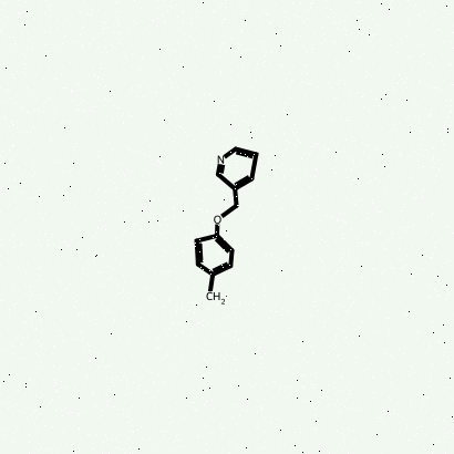 [CH2]c1ccc(OCc2cccnc2)cc1